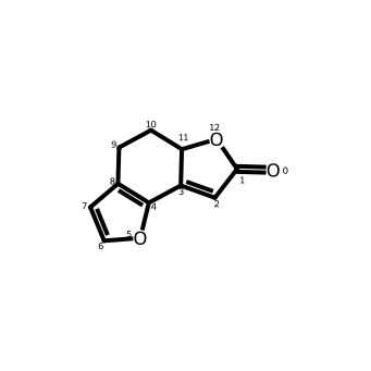 O=C1C=C2c3occc3CCC2O1